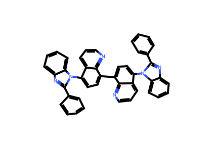 c1ccc(-c2nc3ccccc3n2-c2ccc(-c3ccc(-n4c(-c5ccccc5)nc5ccccc54)c4cccnc34)c3ncccc23)cc1